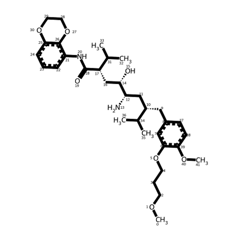 COCCCOc1cc(C[C@@H](C[C@H](N)[C@@H](O)C[C@H](C(=O)Nc2cccc3c2OCCO3)C(C)C)C(C)C)ccc1OC